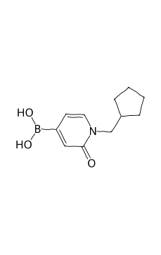 O=c1cc(B(O)O)ccn1CC1CCCC1